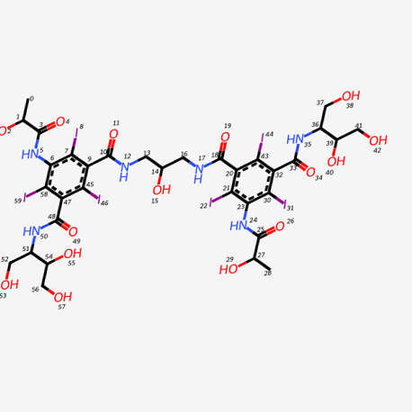 CC(O)C(=O)Nc1c(I)c(C(=O)NCC(O)CNC(=O)c2c(I)c(NC(=O)C(C)O)c(I)c(C(=O)NC(CO)C(O)CO)c2I)c(I)c(C(=O)NC(CO)C(O)CO)c1I